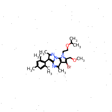 COCc1c(Br)c2c(C)nc3c(-c4c(C)cc(C)cc4C)c(C)nn3c2n1CCOC(C)C